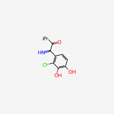 CC(C)C(=O)C(=N)c1ccc(O)c(O)c1Cl